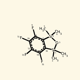 C[Si]1(C)O[Si](C)(C)c2c(F)c(F)c(F)c(F)c21